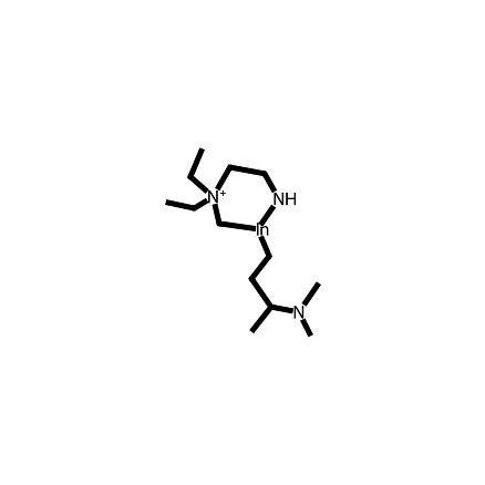 CC[N+]1(CC)CC[NH][In]([CH2]CC(C)N(C)C)[CH2]1